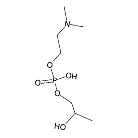 CC(O)COP(=O)(O)OCCN(C)C